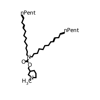 CCCCCC=CCC=CCCCCCCCCN(CCCCCCCCC=CCC=CCCCCC)C(=O)OCC1CCCN(C)C1